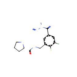 CC(C)(C)N(N=N)C(=N)c1cc(Cl)c(F)c(CNC(=O)[C@@H]2CCCN2)c1